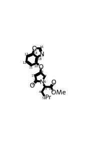 COC(=O)C(CC(C)C)N1CC(Oc2cccc3ocnc23)=CC1=O